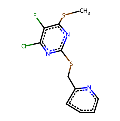 CSc1nc(SCc2ccccn2)nc(Cl)c1F